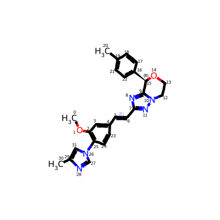 COc1cc(/C=C/c2nc3n(n2)CCO[C@@H]3c2ccc(C)cc2)ccc1-n1cnc(C)c1